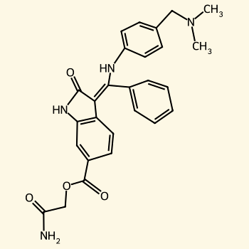 CN(C)Cc1ccc(N/C(=C2\C(=O)Nc3cc(C(=O)OCC(N)=O)ccc32)c2ccccc2)cc1